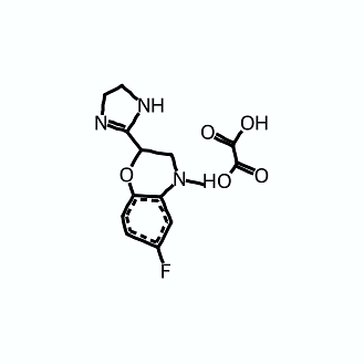 CN1CC(C2=NCCN2)Oc2ccc(F)cc21.O=C(O)C(=O)O